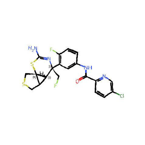 NC1=N[C@](CF)(c2cc(NC(=O)c3ccc(Cl)cn3)ccc2F)[C@@H]2C3CSC[C@]32S1